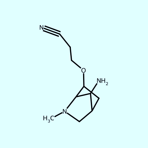 CN1CC2CC(OCCC#N)C1C2N